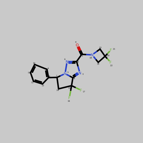 O=C(c1nc2n(n1)C(c1ccccc1)CC2(F)F)N1CC(F)(F)C1